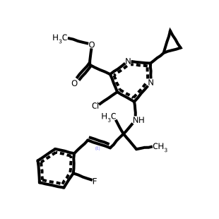 CCC(C)(/C=C/c1ccccc1F)Nc1nc(C2CC2)nc(C(=O)OC)c1Cl